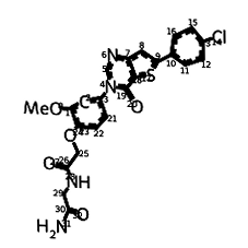 COc1cc(-n2cnc3cc(-c4ccc(Cl)cc4)sc3c2=O)ccc1OCC(=O)NCC(N)=O